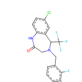 O=C1CN(Cc2cccc(F)c2F)C(C(F)(F)F)c2cc(Cl)ccc2N1